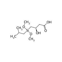 CO[Si](CC(C)C)(C[C@H](O)CC(=O)O)OC